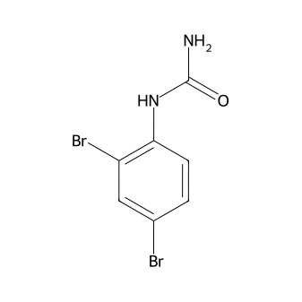 NC(=O)Nc1ccc(Br)cc1Br